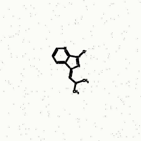 CN(C)C=[N+]1N=[N+]([O-])c2ncccc21